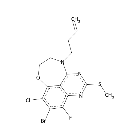 C=CCCN1CCOc2c(Cl)c(Br)c(F)c3nc(SC)nc1c23